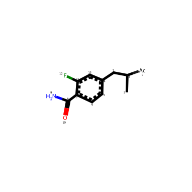 CC(=O)C(C)Cc1ccc(C(N)=O)c(F)c1